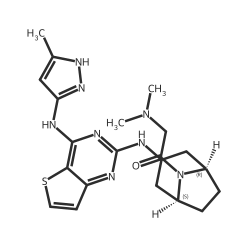 Cc1cc(Nc2nc(NC3C[C@H]4CC[C@@H](C3)N4C(=O)CN(C)C)nc3ccsc23)n[nH]1